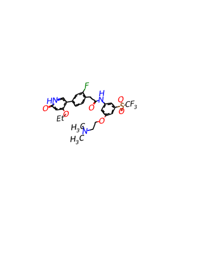 CCOc1cc(=O)[nH]cc1-c1ccc(CC(=O)Nc2cc(OCCN(C)C)cc(S(=O)(=O)C(F)(F)F)c2)c(F)c1